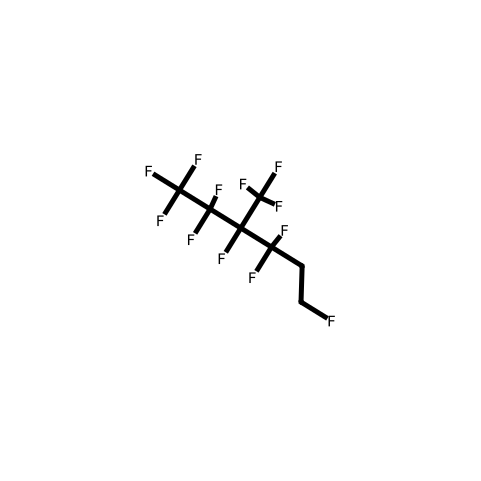 FCCC(F)(F)C(F)(C(F)(F)F)C(F)(F)C(F)(F)F